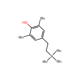 CC(C)(C)c1cc(CC[Si](C(C)(C)C)(C(C)(C)C)C(C)(C)C)cc(C(C)(C)C)c1O